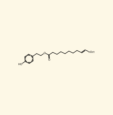 CCCCCCCCC=CCCCCCCCC(=O)OCCc1ccc(O)cc1